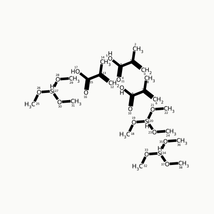 C=C(C)C(=O)O.C=C(C)C(=O)O.C=C(C)C(=O)O.CO[SiH](OC)OC.CO[SiH](OC)OC.CO[SiH](OC)OC